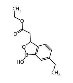 CCOC(=O)CC1OB(O)c2cc(CC)ccc21